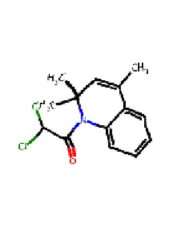 CC1=CC(C)(C)N(C(=O)C(Cl)Cl)c2ccccc21